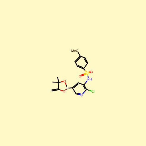 C=C1OB(c2cnc(Cl)c(NS(=O)(=O)c3ccc(OC)cc3)c2)OC1(C)C